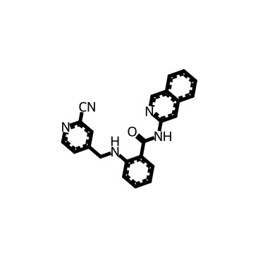 N#Cc1cc(CNc2ccccc2C(=O)Nc2cc3ccccc3cn2)ccn1